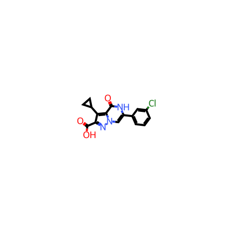 O=C(O)c1nn2cc(-c3cccc(Cl)c3)[nH]c(=O)c2c1C1CC1